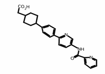 O=C(O)CC1CCC(c2ccc(-c3ccc(NC(=O)c4ccccn4)cn3)cc2)CC1